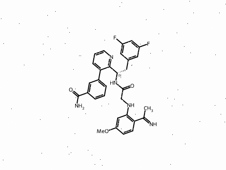 COc1ccc(C(C)=N)c(NCC(=O)N[C@@H](Cc2cc(F)cc(F)c2)c2ncccc2-c2cccc(C(N)=O)c2)c1